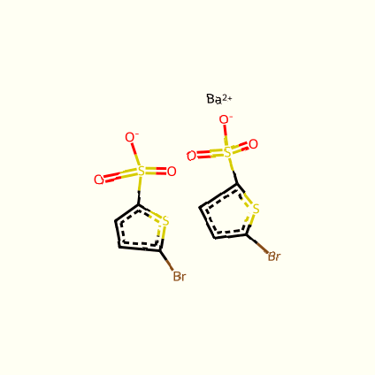 O=S(=O)([O-])c1ccc(Br)s1.O=S(=O)([O-])c1ccc(Br)s1.[Ba+2]